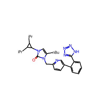 CCCCc1cn(C2C(C(C)C)C2C(C)C)c(=O)n1Cc1ccc(-c2ccccc2-c2nnn[nH]2)cn1